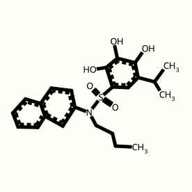 CCCCN(c1ccc2ccccc2c1)S(=O)(=O)c1cc(C(C)C)c(O)c(O)c1O